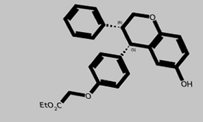 CCOC(=O)COc1ccc([C@H]2c3cc(O)ccc3OC[C@H]2c2ccccc2)cc1